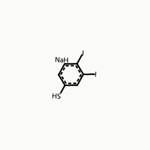 Sc1ccc(I)c(I)c1.[NaH]